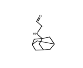 O=C[CH]NC12CC3CC(CC(C3)C1)C2